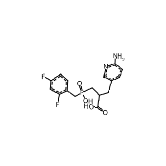 Nc1ccc(CC(CP(=O)(O)Cc2ccc(F)cc2F)C(=O)O)cn1